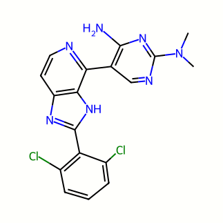 CN(C)c1ncc(-c2nccc3nc(-c4c(Cl)cccc4Cl)[nH]c23)c(N)n1